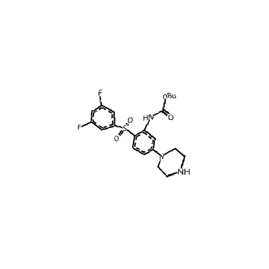 CCCCC(=O)Nc1cc(N2CCNCC2)ccc1S(=O)(=O)c1cc(F)cc(F)c1